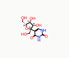 O=c1[nH]cc([C@]2(CO)O[C@H](CO)[C@@H](O)[C@H]2O)c(=O)[nH]1